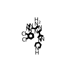 Nc1ncc(-c2cnn(C3CCNCC3)c2)nc1-c1nnnn1-c1cccc(Cl)c1Cl